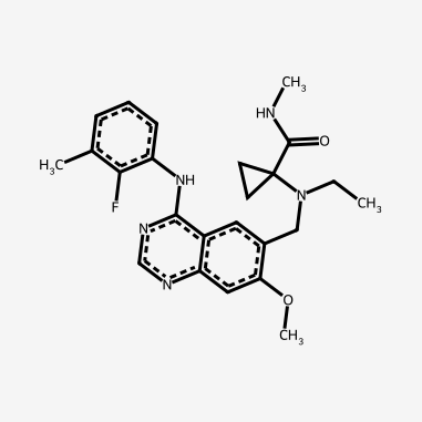 CCN(Cc1cc2c(Nc3cccc(C)c3F)ncnc2cc1OC)C1(C(=O)NC)CC1